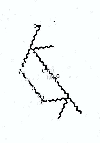 CCCCCCCCC(CCCCCCCCC(C)=O)C(CCCCCCCC)CCCCCCCCC(=O)NCCNC(=O)CCCCCCCCC(CCCCCCCC)C(CCCCCCCC)CCCCCCCCC(=O)OOCCCOCCCOCCCOC